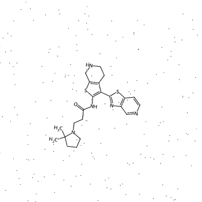 CC1(C)CCCN1CCC(=O)Nc1sc2c(c1-c1nc3cnccc3s1)CCNC2